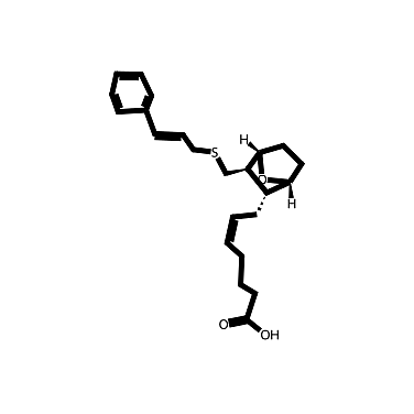 O=C(O)CCC/C=C\C[C@@H]1[C@@H](CSCC=Cc2ccccc2)[C@@H]2CC[C@H]1O2